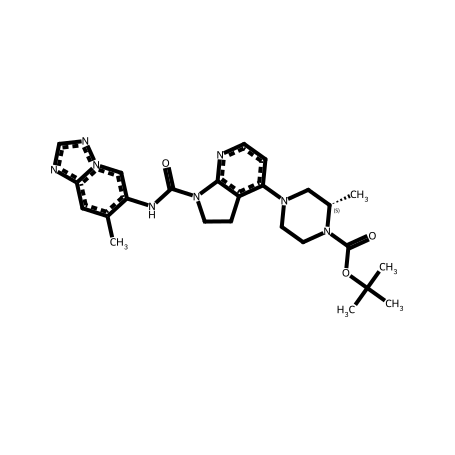 Cc1cc2ncnn2cc1NC(=O)N1CCc2c(N3CCN(C(=O)OC(C)(C)C)[C@@H](C)C3)ccnc21